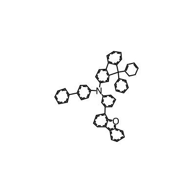 C1=CCCC(C2(c3ccccc3)c3ccccc3-c3ccc(N(c4ccc(-c5ccccc5)cc4)c4cccc(-c5cccc6c5oc5ccccc56)c4)cc32)=C1